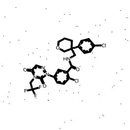 O=C(NCC1(c2ccc(Cl)cc2)CCCOC1)c1cc(-n2ncc(=O)n(CC(F)(F)F)c2=O)ccc1Cl